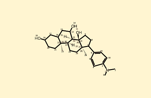 CN(C)c1ccc(C2CC[C@@]3(O)[C@@H]4C(O)CC5CC(O)CC[C@]5(C)[C@@H]4CC[C@]23C)cc1